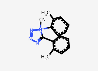 Cc1ccccc1C1=NN=N[N+]1(C#N)c1ccccc1C